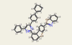 c1ccc(-c2ccc(-c3cc(-c4ccccc4)nc(-c4cccc5sc6cc(-c7nc8ccccc8s7)ccc6c45)n3)cc2)cc1